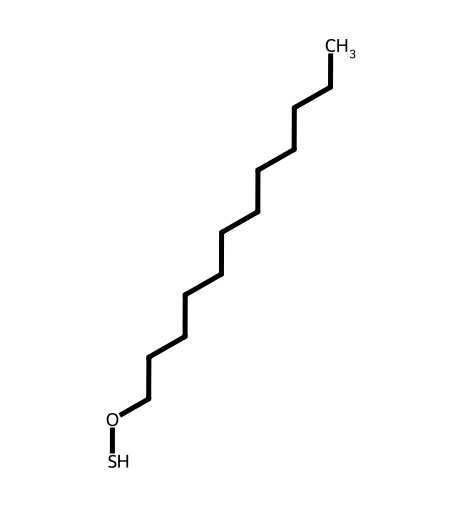 CCCCCCCCCCCCOS